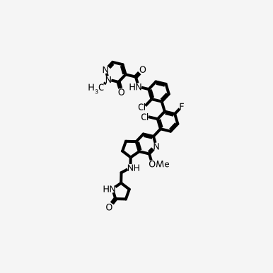 COc1nc(-c2ccc(F)c(-c3cccc(NC(=O)c4ccnn(C)c4=O)c3Cl)c2Cl)cc2c1C(NCC1CCC(=O)N1)CC2